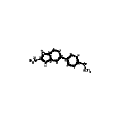 COc1ccc(-c2ccc3oc(N)nc3c2)cc1